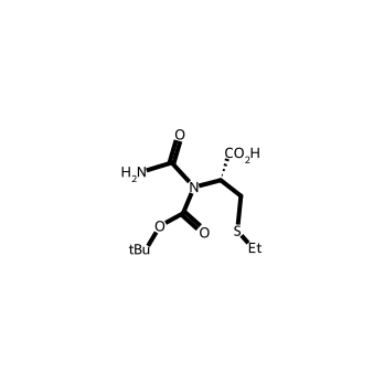 CCSC[C@@H](C(=O)O)N(C(N)=O)C(=O)OC(C)(C)C